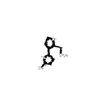 CCOC(=O)Cc1occc1-c1ccc(Cl)s1